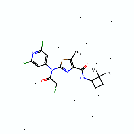 Cc1sc(N(C(=O)CF)c2cc(F)nc(F)c2)nc1C(=O)NC1CCC1(C)C